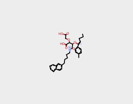 CCC/C=C(\OC(C(=O)NCCCCCc1ccc2ccccc2c1)C(OCC(=O)O)C(=O)O)c1ccc(C)cc1